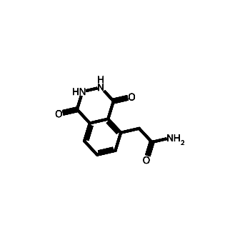 NC(=O)Cc1cccc2c(=O)[nH][nH]c(=O)c12